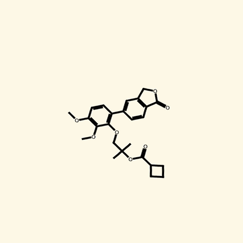 COc1ccc(-c2ccc3c(c2)COC3=O)c(OCC(C)(C)OC(=O)C2CCC2)c1OC